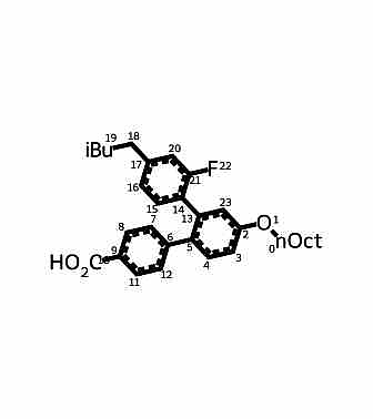 CCCCCCCCOc1ccc(-c2ccc(C(=O)O)cc2)c(-c2ccc(CC(C)CC)cc2F)c1